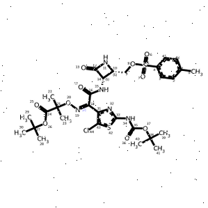 Cc1ccc(S(=O)(=O)OC[C@H]2NC(=O)[C@H]2NC(=O)/C(=N\OC(C)(C)C(=O)OC(C)(C)C)c2nc(NC(=O)OC(C)(C)C)sc2Cl)cc1